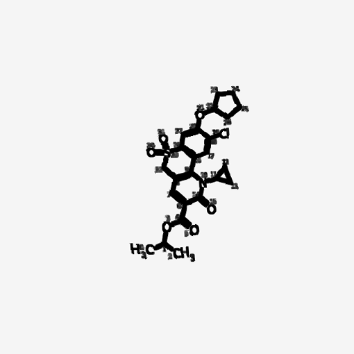 CC(C)OC(=O)c1cc2c(n(C3CC3)c1=O)-c1cc(Cl)c(OC3CCCC3)cc1S(=O)(=O)C2